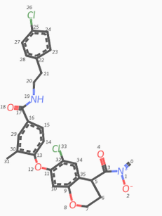 C=[N+]([O-])C(=O)C1CCOc2cc(Oc3ccc(C(=O)NCCc4ccc(Cl)cc4)cc3C)c(Cl)cc21